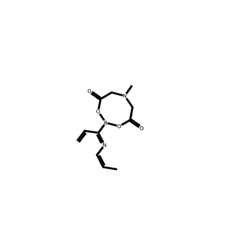 C=C/C(=N\C=C/C)B1OC(=O)CN(C)CC(=O)O1